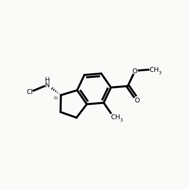 COC(=O)c1ccc2c(c1C)CC[C@@H]2NCl